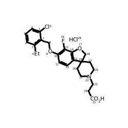 CCc1cccc(Cl)c1COc1ccc2c(c1F)OCC21CCN(CCC(=O)O)CC1.Cl